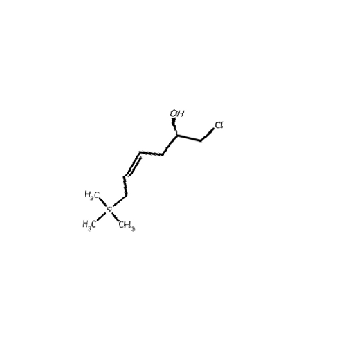 C[Si](C)(C)C/C=C\C[C@@H](O)CCl